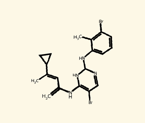 C=C(/C=C(\C)C1CC1)NC1=C(Br)C=NC(Nc2cccc(Br)c2C)N1